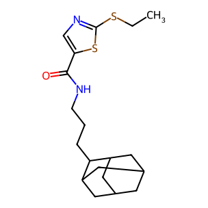 CCSc1ncc(C(=O)NCCCC2C3CC4CC(C3)CC2C4)s1